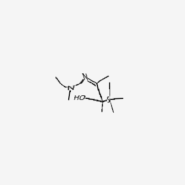 CC(=NN(C)C)C(C)(O)[Si](C)(C)C